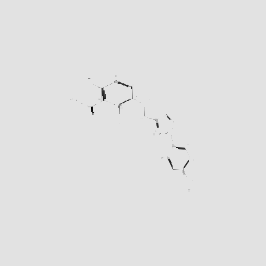 NC(=O)c1c(F)ccc(OCc2cnn(-c3ccc(Cl)cc3)n2)c1F